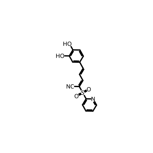 N#C/C(=C\C=C\c1ccc(O)c(O)c1)S(=O)(=O)c1ccccn1